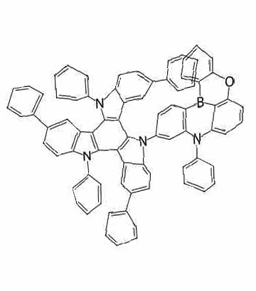 c1ccc(-c2ccc3c(c2)c2c(c4c5cc(-c6ccccc6)ccc5n(-c5ccc6c(c5)N(c5ccccc5)c5cccc7c5B6c5ccccc5O7)c4c4c5cc(-c6ccccc6)ccc5n(-c5ccccc5)c24)n3-c2ccccc2)cc1